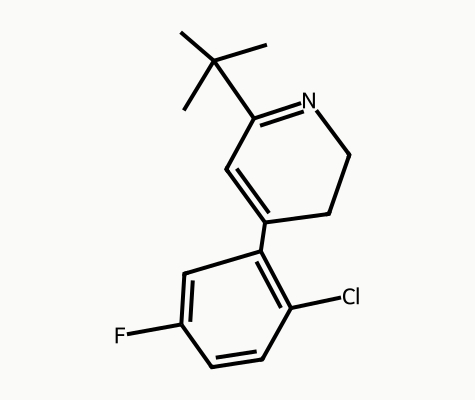 CC(C)(C)C1=NCCC(c2cc(F)ccc2Cl)=C1